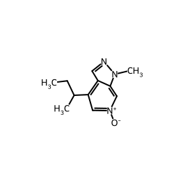 CCC(C)c1c[n+]([O-])cc2c1cnn2C